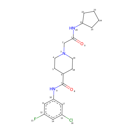 O=C(CN1CCC(C(=O)Nc2cc(F)cc(Cl)c2)CC1)NC1CCCC1